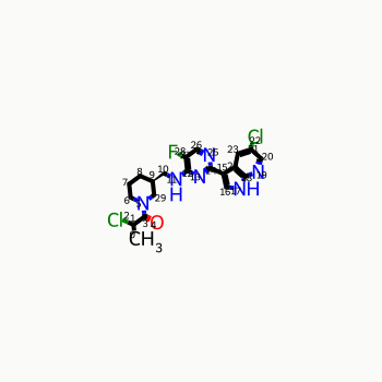 CC(Cl)C(=O)N1CCC[C@@H](CNc2nc(-c3c[nH]c4ncc(Cl)cc34)ncc2F)C1